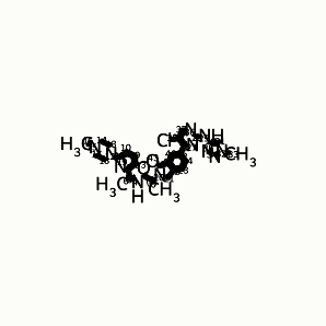 C[C@H](C(=O)N[C@H](C)c1cccc(N2CCN(C)CC2)n1)N1Cc2ccc(-c3nc(Nc4cn(C)nn4)ncc3Cl)cc2C1=O